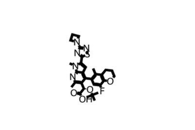 Cc1nc2c(cc(-c3nc(N4CCC4)ns3)n2C)c(-c2cc(F)c3c(c2C)CCCO3)c1[C@H](OC(C)(C)C)C(=O)O